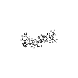 CC(C)(C)OC(=O)N(C(=O)OC(C)(C)C)c1ccc(C(=O)NNC(=N)[C@@H]2CCc3cc(-c4cc(Cl)ccc4-n4cnnn4)cc(=O)n32)c(F)n1